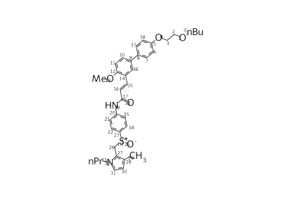 CCCCOCCOc1ccc(-c2ccc(OC)c(/C=C/C(=O)Nc3ccc([S@+]([O-])Cc4c(C)ccn4CCC)cc3)c2)cc1